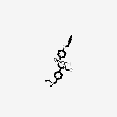 CC#CCOc1ccc(S(=O)(=O)CC(c2ccc(CN(C)CC)cc2)N(O)C=O)cc1